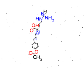 [H]/N=C(\N)NCCC[C@H](/N=C/C=C/c1ccc(OC(C)=O)cc1)C(=O)O